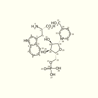 N[C@@H](Cc1c[nH]c2ccccc12)C(=O)O.O=C(O)c1ccc[n+]([C@@H]2O[C@H](COP(=O)(O)O)[C@@H](O)[C@H]2O)c1